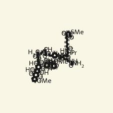 COc1cccc2c1C(=O)c1c(O)c3c(c(O)c1C2=O)C[C@@](O)(C(=O)COC(=O)N(C)CCN(C)C(=O)OCc1ccc(NC(=O)C(CCCNC(N)=O)NC(=O)[C@@H](NC(=O)CCCCCN2C(=O)CC(SC)C2=O)C(C)C)cc1)C[C@@H]3O[C@H]1C[C@H]2[C@H](O[C@@H]3[C@@H](OC)OCCN32)[C@H](C)O1